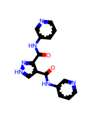 O=C(Nc1cccnc1)c1c[nH]nc1C(=O)Nc1cccnc1